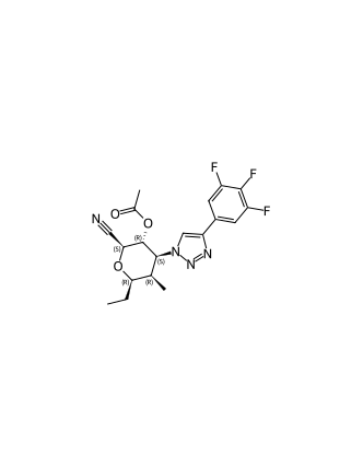 CC[C@H]1O[C@@H](C#N)[C@H](OC(C)=O)[C@@H](n2cc(-c3cc(F)c(F)c(F)c3)nn2)[C@H]1C